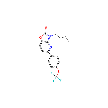 CCCCn1c(=O)oc2ccc(-c3ccc(OC(F)(F)F)cc3)nc21